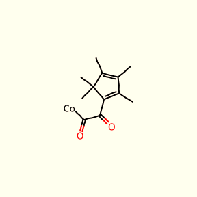 CC1=C(C)C(C)(C)C(C(=O)[C](=O)[Co])=C1C